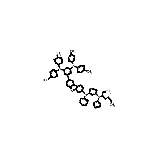 C=C/C(=C\C=C/C)N(c1ccccc1)c1cccc(N(c2ccccc2)c2ccc3c(c2)sc2ccc(-c4cc(N(c5ccc(C)cc5)c5ccc(C)cc5)cc(N(c5ccc(C)cc5)c5ccc(C)cc5)c4)cc23)c1